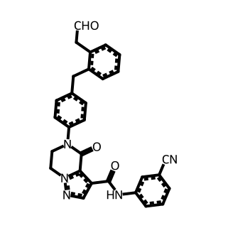 N#Cc1cccc(NC(=O)c2cnn3c2C(=O)N(c2ccc(Cc4ccccc4CC=O)cc2)CC3)c1